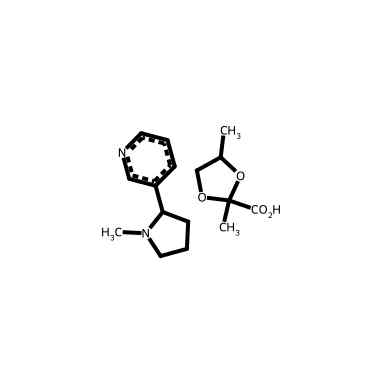 CC1COC(C)(C(=O)O)O1.CN1CCCC1c1cccnc1